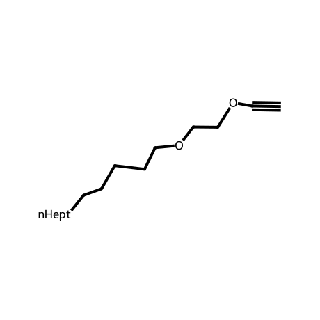 C#COCCOCCCCCCCCCCCC